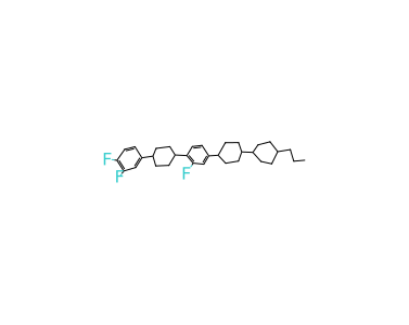 CCCC1CCC(C2CCC(c3ccc(C4CCC(c5ccc(F)c(F)c5)CC4)c(F)c3)CC2)CC1